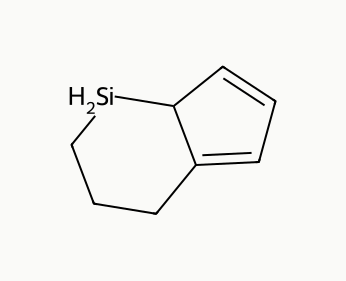 C1=CC2[SiH2]CCCC2=C1